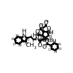 Cc1c(CCN2C(=O)[C@H](OC(=O)c3ccccc3)[C@@]34[C@@H]2OC(=O)[C@@]32CC(=O)O[C@H]2C[C@@]4(O)C(C)(C)C)[nH]c2ccccc12